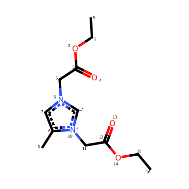 CCOC(=O)Cn1cc(C)[n+](CC(=O)OCC)c1